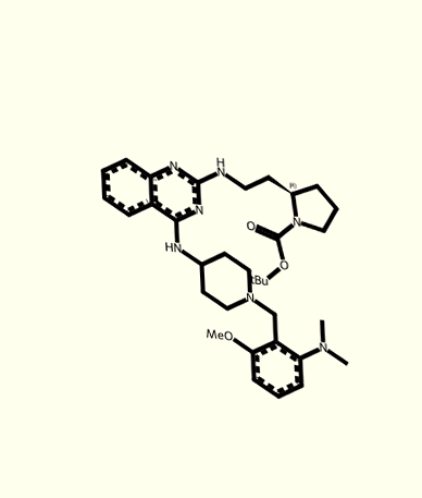 COc1cccc(N(C)C)c1CN1CCC(Nc2nc(NCC[C@H]3CCCN3C(=O)OC(C)(C)C)nc3ccccc23)CC1